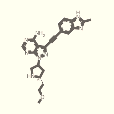 COCC[C@H]1CC(n2nc(C#Cc3ccc4[nH]c(C)nc4c3)c3c(N)ncnc32)CN1